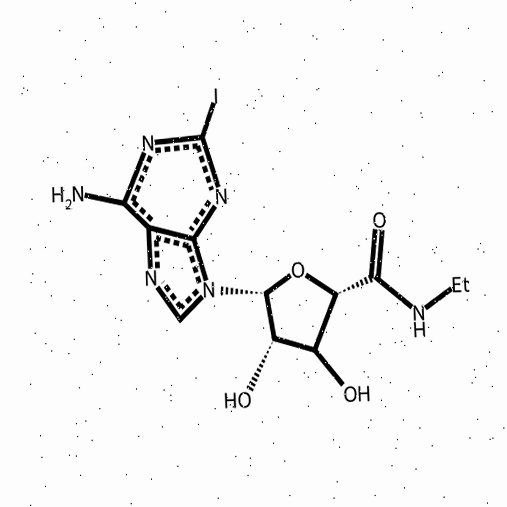 CCNC(=O)[C@H]1O[C@@H](n2cnc3c(N)nc(I)nc32)[C@@H](O)C1O